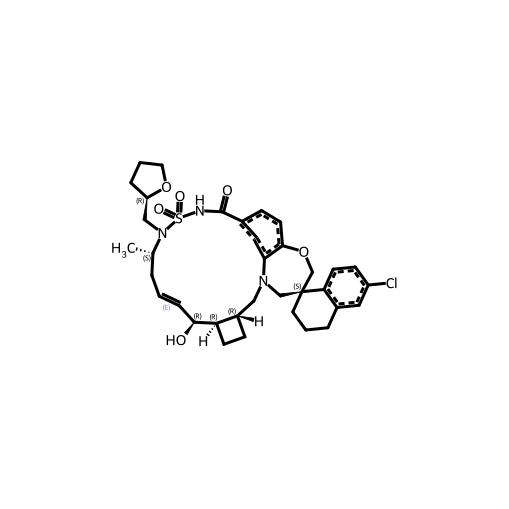 C[C@H]1C/C=C/[C@H](O)[C@@H]2CC[C@H]2CN2C[C@@]3(CCCc4cc(Cl)ccc43)COc3ccc(cc32)C(=O)NS(=O)(=O)N1C[C@H]1CCCO1